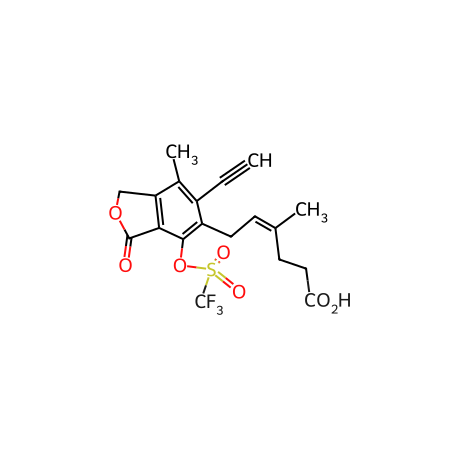 C#Cc1c(C)c2c(c(OS(=O)(=O)C(F)(F)F)c1CC=C(C)CCC(=O)O)C(=O)OC2